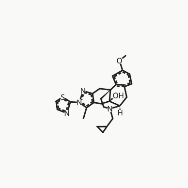 COc1ccc2c(c1)[C@]13CCN(CC4CC4)[C@H](C2)[C@]1(O)Cc1c(nn(-c2nccs2)c1C)C3